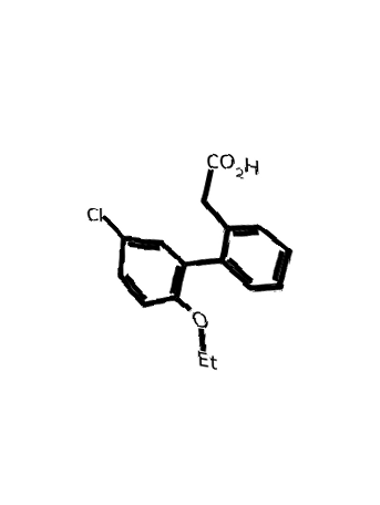 CCOc1ccc(Cl)cc1-c1ccccc1CC(=O)O